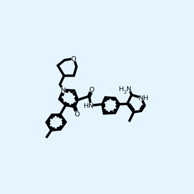 CC1=C(c2ccc(NC(=O)c3cn(CC4CCOCC4)cc(-c4ccc(C)cc4)c3=O)cc2)C(N)NC=C1